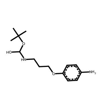 CC(C)(C)OC(O)NCCCOc1ccc(N)cc1